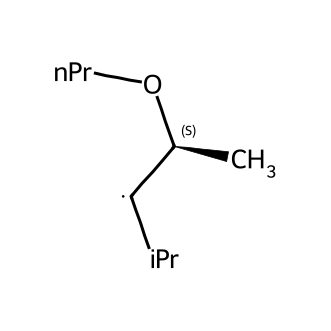 CCCO[C@@H](C)[CH]C(C)C